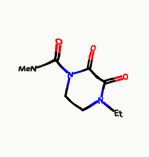 CCN1CCN(C(=O)NC)C(=O)C1=O